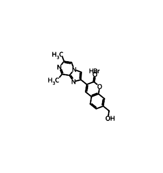 Br.Cc1cn2cc(-c3cc4ccc(CO)cc4oc3=O)nc2c(C)n1